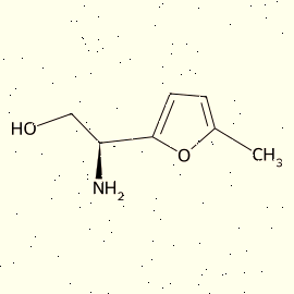 Cc1ccc([C@@H](N)CO)o1